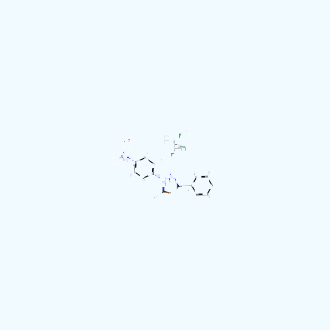 Cc1sc(-c2ccccc2)n[n+]1-c1ccc([N+](=O)[O-])cc1.F[B-](F)(F)F